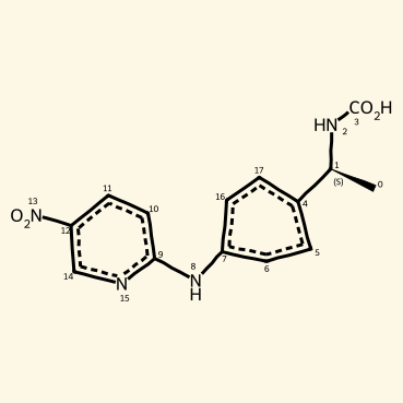 C[C@H](NC(=O)O)c1ccc(Nc2ccc([N+](=O)[O-])cn2)cc1